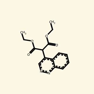 CCOC(=O)C(C(=O)OCC)c1cnnc2ccccc12